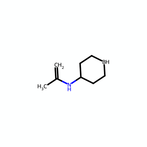 C=C(C)NC1CCBCC1